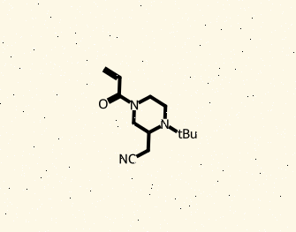 C=CC(=O)N1CCN(C(C)(C)C)C(CC#N)C1